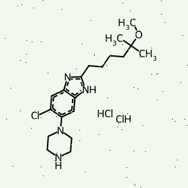 COC(C)(C)CCCCc1nc2cc(Cl)c(N3CCNCC3)cc2[nH]1.Cl.Cl